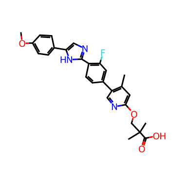 COc1ccc(-c2cnc(-c3ccc(-c4cnc(OCC(C)(C)C(=O)O)cc4C)cc3F)[nH]2)cc1